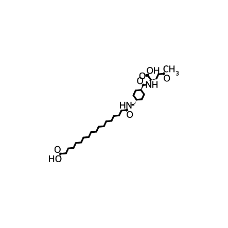 CC(=O)CC[C@H](NC(=O)[C@H]1CC[C@H](CNC(=O)CCCCCCCCCCCCCCCCC(=O)O)CC1)C(=O)O